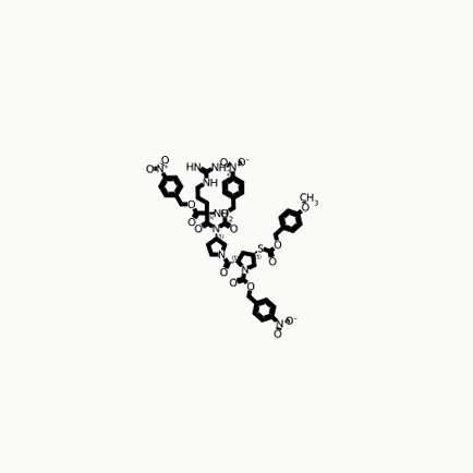 COc1ccc(COC(=O)S[C@H]2C[C@@H](C(=O)N3CC[C@H](N(C(=O)OCc4ccc([N+](=O)[O-])cc4)C(=O)[C@@](N)(CCCNC(=N)N)C(=O)OCc4ccc([N+](=O)[O-])cc4)C3)N(C(=O)OCc3ccc([N+](=O)[O-])cc3)C2)cc1